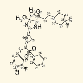 CC1(C)N=C(C23CC(C(Cc4ccc(Cl)c(F)c4)S(=O)(=O)c4ccccc4)(C2)C3)N[C@H]1C(=O)CCC1CCC(F)(F)CC1